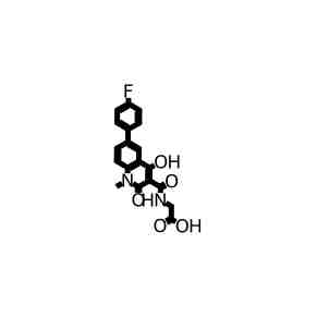 Cn1c(=O)c(C(=O)NCC(=O)O)c(O)c2cc(-c3ccc(F)cc3)ccc21